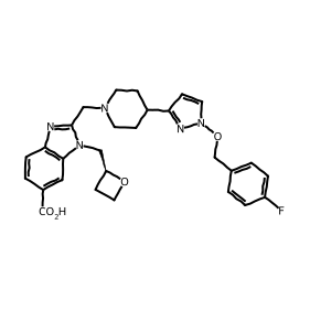 O=C(O)c1ccc2nc(CN3CCC(c4ccn(OCc5ccc(F)cc5)n4)CC3)n(C[C@@H]3CCO3)c2c1